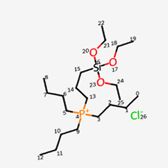 CCCC[P+](CCCC)(CCCC)CCC[Si](OCC)(OCC)OCC.[Cl-]